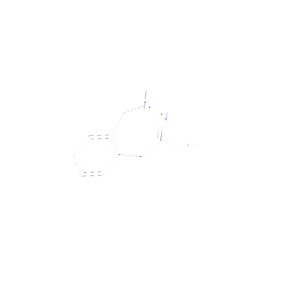 CC(C)C1=NNCc2ccccc2C1